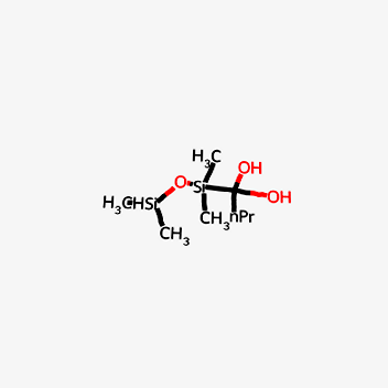 CCCC(O)(O)[Si](C)(C)O[SiH](C)C